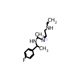 C=CNC/C=N\C(C)NC(C)c1ccc(F)cc1